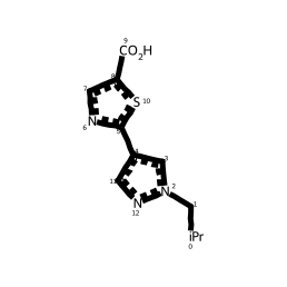 CC(C)Cn1cc(-c2ncc(C(=O)O)s2)cn1